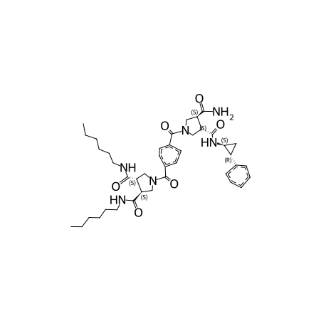 CCCCCCNC(=O)[C@@H]1CN(C(=O)c2ccc(C(=O)N3C[C@@H](C(N)=O)[C@H](C(=O)N[C@H]4C[C@@H]4c4ccccc4)C3)cc2)C[C@H]1C(=O)NCCCCCC